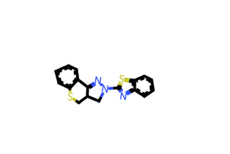 c1ccc2c(c1)SCC1CN(c3nc4ccccc4s3)N=C21